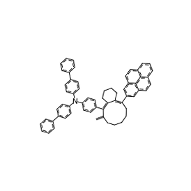 C=C1CCCCC/C(c2cc3ccc4cccc5ccc(c2)c3c45)=C2/CCCC/C2=C/1c1ccc(N(c2ccc(-c3ccccc3)cc2)c2ccc(-c3ccccc3)cc2)cc1